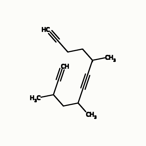 C#CCC[C](C)C#CC(C)CC(C)C#C